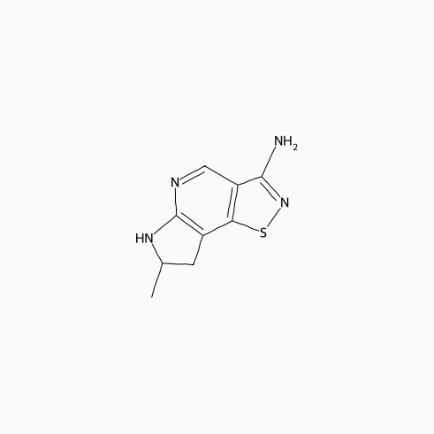 CC1Cc2c(ncc3c(N)nsc23)N1